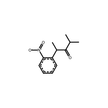 CC(C)C(=O)C(C)c1ccccc1[N+](=O)[O-]